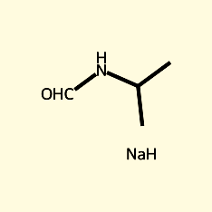 CC(C)NC=O.[NaH]